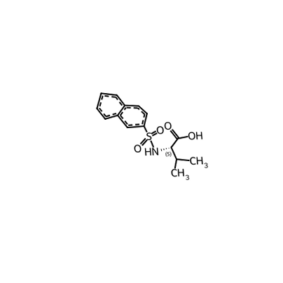 CC(C)[C@H](NS(=O)(=O)c1ccc2ccccc2c1)C(=O)O